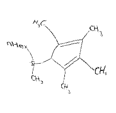 CCCCCC[Si](C)C1C(C)=C(C)C(C)=C1C